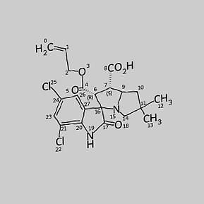 C=CCOC(=O)[C@@H]1[C@H](C(=O)O)C2CC(C)(C)CN2C12C(=O)Nc1c(Cl)cc(Cl)cc12